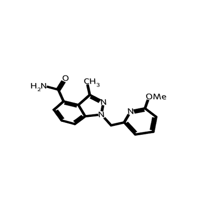 COc1cccc(Cn2nc(C)c3c(C(N)=O)cccc32)n1